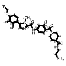 Cn1c(-c2ccc(OCF)c(F)c2F)cnc1C(=O)Nc1ccc(C(=O)N2CCC(C(=O)NCCN)CC2)c(Cl)c1